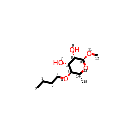 CCCCO[C@H]1[C@H](O)[C@H](O)[C@@H](OC)O[C@@H]1C